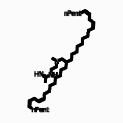 CCCCC/C=C\C/C=C\CCCCCCCCC(CCCCCCCC/C=C\C/C=C\CCCCC)CN(C)CCNC(C)=N